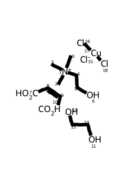 C[N+](C)(C)CCO.O=C(O)/C=C\C(=O)O.OCCO.[Cl-].[Cl][Cu][Cl]